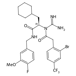 COc1cc(CNC(=O)[C@@H](CC2CCCCC2)N(C(=N)N)C(=O)Cc2ccc(C(F)(F)F)cc2Br)ccc1F